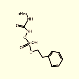 CCCCCCNC(=O)NOP(=O)(O)OCCc1ccccc1